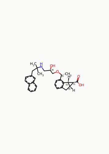 C[C@@H](OC[C@H](O)CNC(C)(C)Cc1ccc2ccccc2c1)c1cccc2c1[C@H]1[C@@H](C2)[C@@H]1C(=O)O